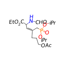 CCOC(=O)C(C=C(CCCOC(C)=O)CP(=O)(OC(C)C)OC(C)C)NC=O